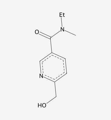 CCN(C)C(=O)c1ccc(CO)nc1